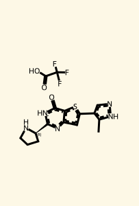 Cc1[nH]ncc1-c1cc2nc([C@H]3CCCN3)[nH]c(=O)c2s1.O=C(O)C(F)(F)F